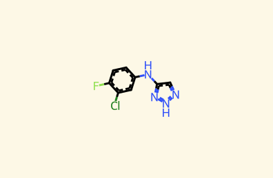 Fc1ccc(Nc2cn[nH]n2)cc1Cl